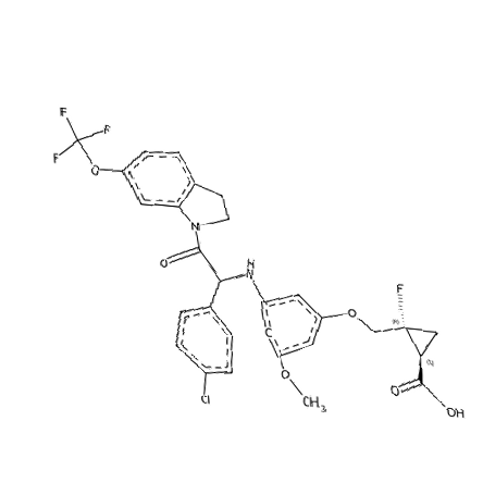 COc1cc(NC(C(=O)N2CCc3ccc(OC(F)(F)F)cc32)c2ccc(Cl)cc2)cc(OC[C@@]2(F)C[C@H]2C(=O)O)c1